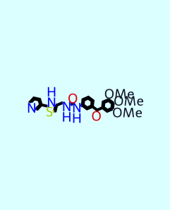 COc1cc(C(=O)c2cccc(NC(=O)NCC3=CSC(c4cccnc4)N3)c2)cc(OC)c1OC